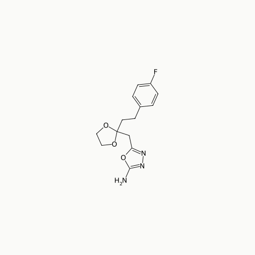 Nc1nnc(CC2(CCc3ccc(F)cc3)OCCO2)o1